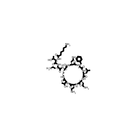 CC(C)C[C@@H]1NC(=O)[C@@H](Cc2ccccc2)NC(=O)[C@H](CCN)NC(=O)[C@@H](NC(=O)[C@H](CCN)NC(=O)[C@@H](NC(=O)CCCCCN)C(C)O)CCNC(=O)C(C(C)O)NC(=O)[C@H](CCN)NC(=O)[C@H](CCN)NC1=O